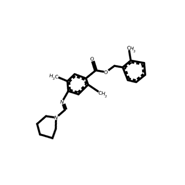 Cc1ccccc1COC(=O)c1cc(C)c(/N=C/N2CCCCC2)cc1C